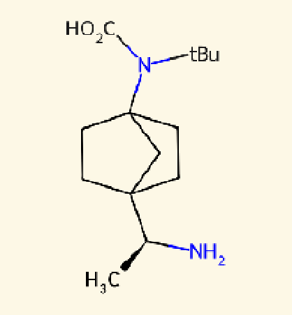 C[C@H](N)C12CCC(N(C(=O)O)C(C)(C)C)(CC1)C2